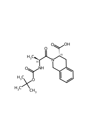 C[C@H](NC(=O)OC(C)(C)C)C(=O)N1Cc2ccccc2C[C@H]1C(=O)O